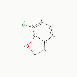 ClC1=C[C]=CC2CCOC12